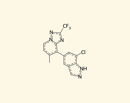 Cc1ccn2nc(C(F)(F)F)nc2c1-c1cc(Cl)c2[nH]ncc2c1